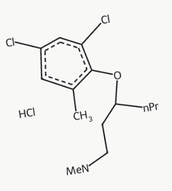 CCCC(CCNC)Oc1c(C)cc(Cl)cc1Cl.Cl